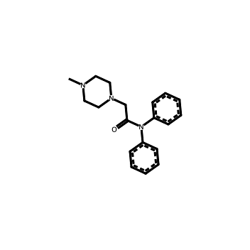 CN1CCN(CC(=O)N(c2ccccc2)c2ccccc2)CC1